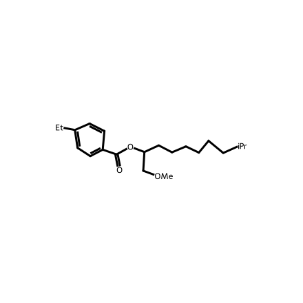 CCc1ccc(C(=O)OC(CCCCCCC(C)C)COC)cc1